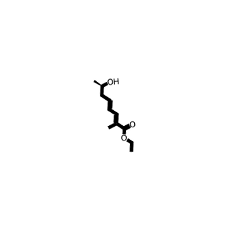 CCOC(=O)/C(C)=C/C=C/C[C@@H](C)O